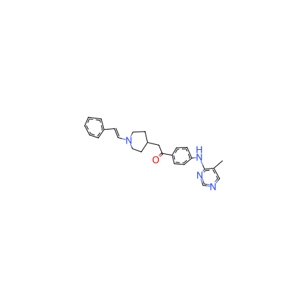 Cc1cncnc1Nc1ccc(C(=O)CC2CCN(C=Cc3ccccc3)CC2)cc1